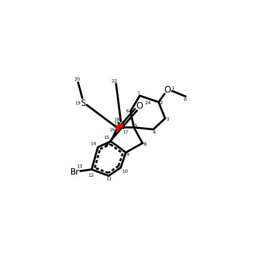 COC1CCC2(CC1)Cc1ccc(Br)cc1C21N=C(SC)N(C)C1=O